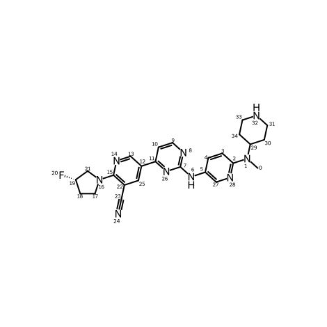 CN(c1ccc(Nc2nccc(-c3cnc(N4CC[C@H](F)C4)c(C#N)c3)n2)cn1)C1CCNCC1